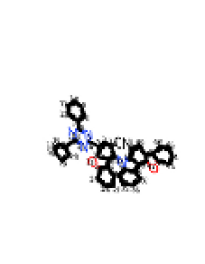 N#Cc1cc(-c2nc(-c3ccccc3)nc(-c3ccccc3)n2)c2oc3ccccc3c2c1-n1c2ccccc2c2c3oc4ccccc4c3ccc21